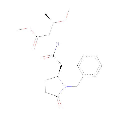 COC(=O)[C@@H](NC(=O)C[C@@H]1CCC(=O)N1Cc1ccccc1)[C@@H](C)OC